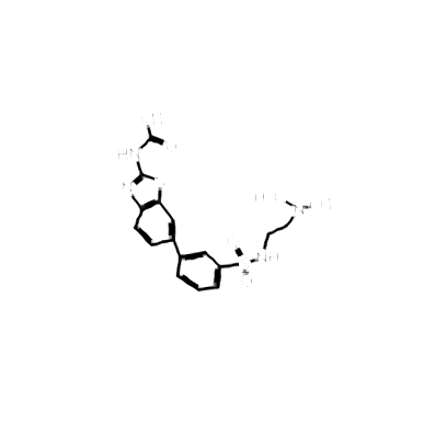 CC(=O)Nc1nc2ccc(-c3cccc(S(=O)(=O)NCCN(C)C)c3)cc2s1